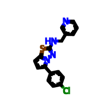 Clc1ccc(-c2ccc3sc(NCc4cccnc4)nn23)cc1